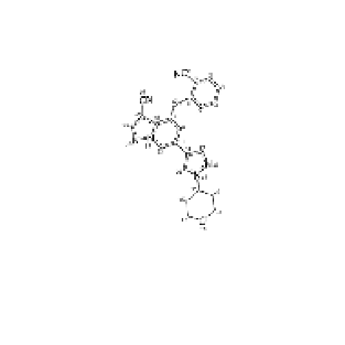 N#Cc1ccccc1Sc1cc(-c2cnn(C3CCOCC3)c2)cn2ncc(C#N)c12